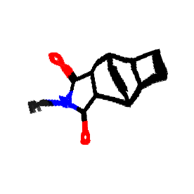 CC(C)N1C(=O)C2C3C=CC(C4C=CC43)C2C1=O